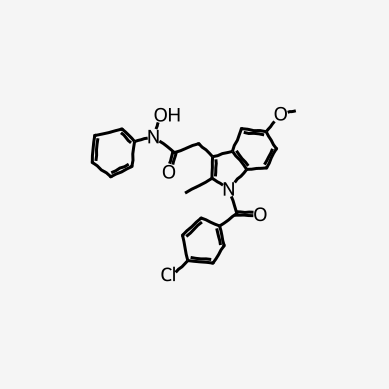 COc1ccc2c(c1)c(CC(=O)N(O)c1ccccc1)c(C)n2C(=O)c1ccc(Cl)cc1